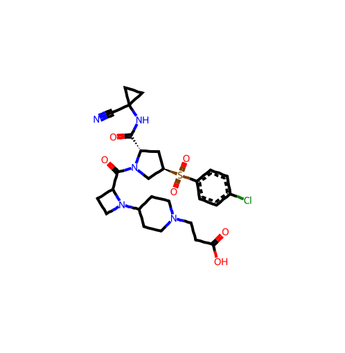 N#CC1(NC(=O)[C@@H]2C[C@@H](S(=O)(=O)c3ccc(Cl)cc3)CN2C(=O)C2CCN2C2CCN(CCC(=O)O)CC2)CC1